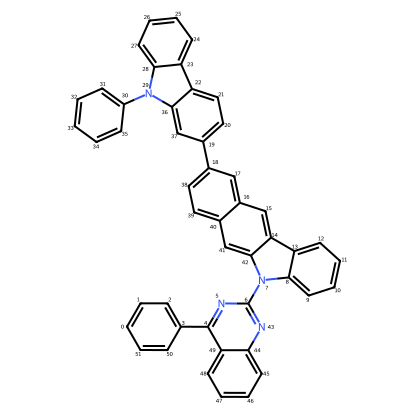 c1ccc(-c2nc(-n3c4ccccc4c4cc5cc(-c6ccc7c8ccccc8n(-c8ccccc8)c7c6)ccc5cc43)nc3ccccc23)cc1